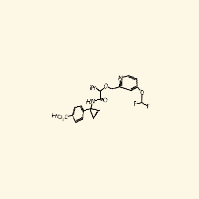 CC(C)C(OCc1cc(OC(F)F)ccn1)C(=O)NC1(c2ccc(C(=O)O)cc2)CC1